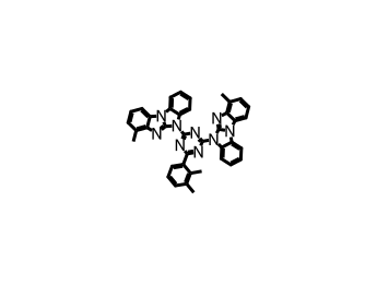 Cc1cccc(-c2nc(-n3c4ccccc4n4c5cccc(C)c5nc34)nc(-n3c4ccccc4n4c5cccc(C)c5nc34)n2)c1C